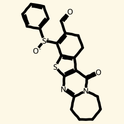 O=CC1=C([S+]([O-])c2ccccc2)c2sc3nc4n(c(=O)c3c2CC1)CCCCC4